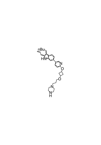 C=C/C=c1/[nH]c2cc(-c3ccc(OC4CC(OCCCN5CCNCC5)C4)nc3)ccc2/c1=C/CCCC